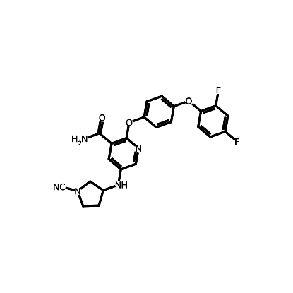 N#CN1CCC(Nc2cnc(Oc3ccc(Oc4ccc(F)cc4F)cc3)c(C(N)=O)c2)C1